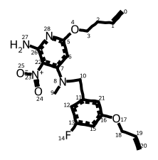 C=CCCOc1cc(N(C)Cc2cc(F)cc(OCC=C)c2)c([N+](=O)[O-])c(N)n1